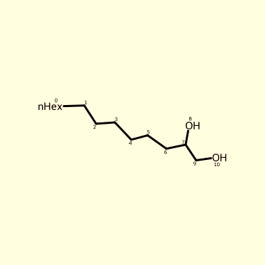 CCCCCCCCCCCCC(O)CO